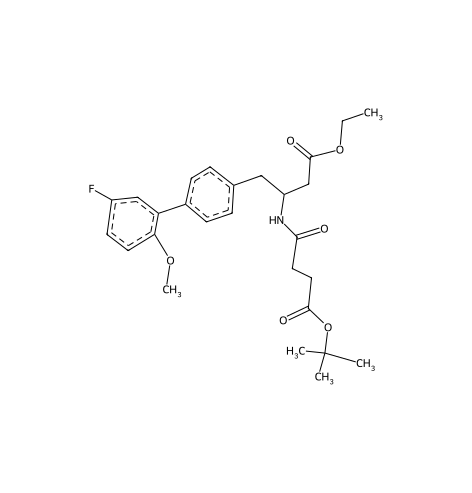 CCOC(=O)CC(Cc1ccc(-c2cc(F)ccc2OC)cc1)NC(=O)CCC(=O)OC(C)(C)C